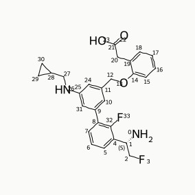 N[C@H](CF)c1cccc(-c2cc(COc3ccccc3CC(=O)O)cc(NCC3CC3)c2)c1F